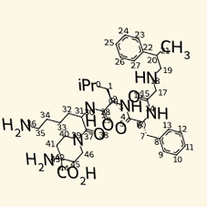 CC(C)C[C@@H](NC(=O)[C@@H](Cc1ccccc1)NC(=O)CNCC(C)c1ccccc1)C(=O)NC(CCCCN)C(=O)N1CCC(N)(C(=O)O)CC1